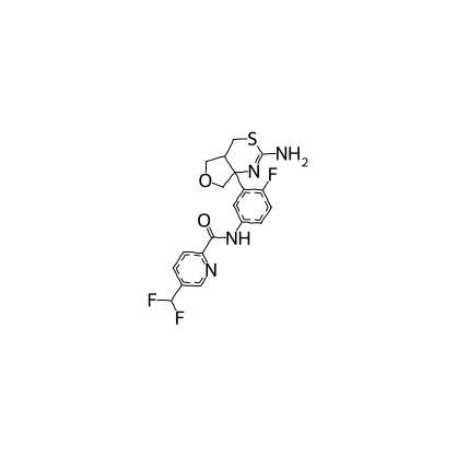 NC1=NC2(c3cc(NC(=O)c4ccc(C(F)F)cn4)ccc3F)COCC2CS1